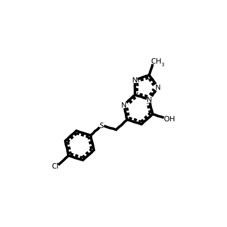 Cc1nc2nc(CSc3ccc(Cl)cc3)cc(O)n2n1